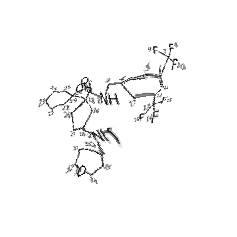 O=C(NCc1cc(C(F)(F)F)cc(C(F)(F)F)c1)C1(C2(O)CCCCC2)CCC(NC2CCOCC2)C1